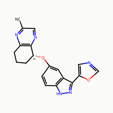 N#Cc1cnc2c(n1)CCC[C@H]2Oc1ccc2[nH]nc(-c3cnco3)c2c1